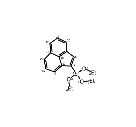 CCO[Si](OCC)(OCC)C1=Cc2cccc3cccc1c23